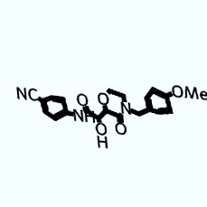 COc1ccc(CN2CCOC(C(O)C(=O)Nc3ccc(C#N)cc3)C2=O)cc1